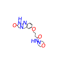 O=C1CN2Cc3cc(OCCCC(=O)NN4CCOCC4)ccc3N=C2N1